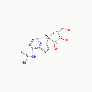 CCCCC(=O)Nc1ncnn2c([C@]3(C)O[C@H](CO)[C@@H](O)[C@H]3O)ccc12